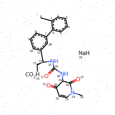 Cc1ccccc1-c1cccc([C@H](CC(=O)O)NC(=O)NC2C(=O)C=CN(C)C2=O)c1.[NaH]